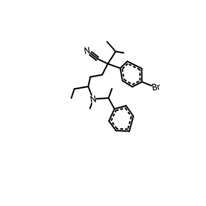 CCC(CCC(C#N)(c1ccc(Br)cc1)C(C)C)N(C)C(C)c1ccccc1